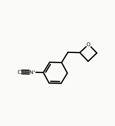 [C-]#[N+]C1=CC(CC2CCO2)CC=C1